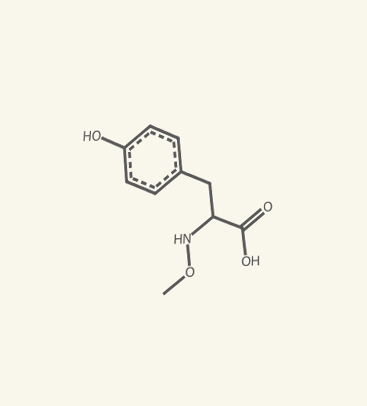 CONC(Cc1ccc(O)cc1)C(=O)O